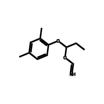 CCC(OC=N)Oc1ccc(C)cc1C